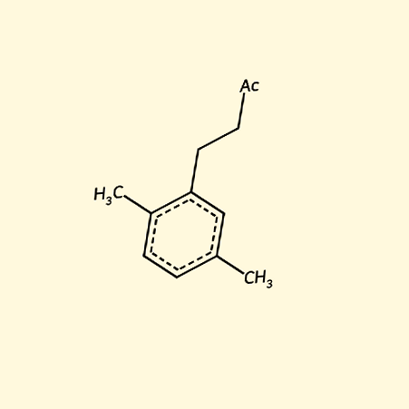 CC(=O)CCc1cc(C)ccc1C